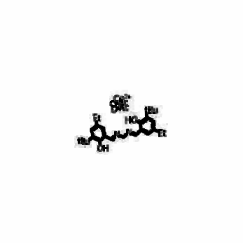 CC(=O)[O-].CC(=O)[O-].CCc1cc(C=NCN=Cc2cc(CC)cc(C(C)(C)C)c2O)c(O)c(C(C)(C)C)c1.[Co+2]